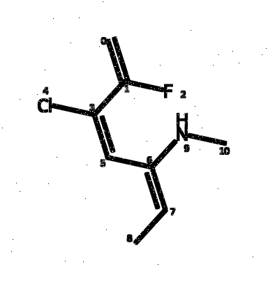 C=C(F)/C(Cl)=C\C(=C/C)NC